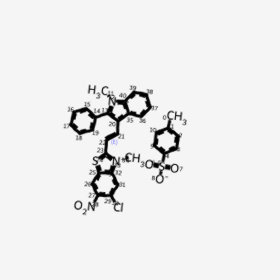 Cc1ccc(S(=O)(=O)[O-])cc1.Cn1c(-c2ccccc2)c(/C=C/c2sc3cc([N+](=O)[O-])c(Cl)cc3[n+]2C)c2ccccc21